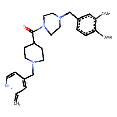 C=C/C=C(\C=C/N)CN1CCC(C(=O)N2CCN(Cc3ccc(OC)c(OC)c3)CC2)CC1